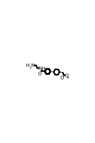 COC(=O)C[C@H]1CC[C@H](c2ccc(C(=O)NCCN)cc2)CC1